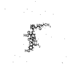 CCCNC(=O)CCn1nnnc1SCC1=C(C(=O)O)N2C(=O)C(NC(=O)C(N)c3ccc(O)cc3)[C@H]2SC1